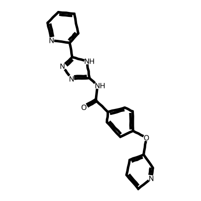 O=C(Nc1nnc(-c2ccccn2)[nH]1)c1ccc(Oc2cccnc2)cc1